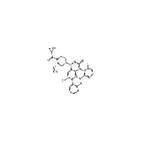 Cc1ccnc(C(C)C)c1-n1c(=O)nc(N2CCN(C(=O)C3CO3)[C@@H](CC#N)C2)c2cc(Cl)c(-c3ccccc3F)nc21